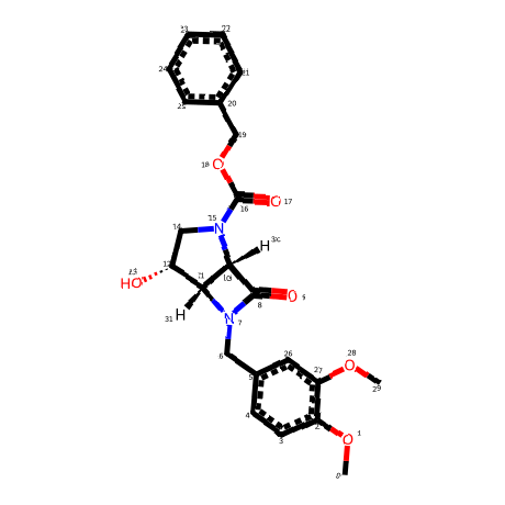 COc1ccc(CN2C(=O)[C@@H]3[C@H]2[C@H](O)CN3C(=O)OCc2ccccc2)cc1OC